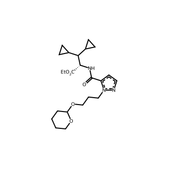 CCOC(=O)[C@@H](NC(=O)c1ccnn1CCCOC1CCCCO1)C(C1CC1)C1CC1